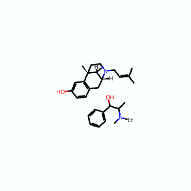 CC(C)=CCN1CC[C@@]2(C)c3cc(O)ccc3C[C@@H]1[C@@H]2C.CCN(C)C(C)C(O)c1ccccc1